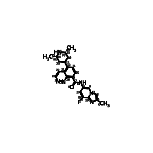 Cc1cn2cc(NC(=O)c3ccc(C4C[C@@H](C)N[C@H](C)C4)c4ccnnc34)cc(F)c2n1